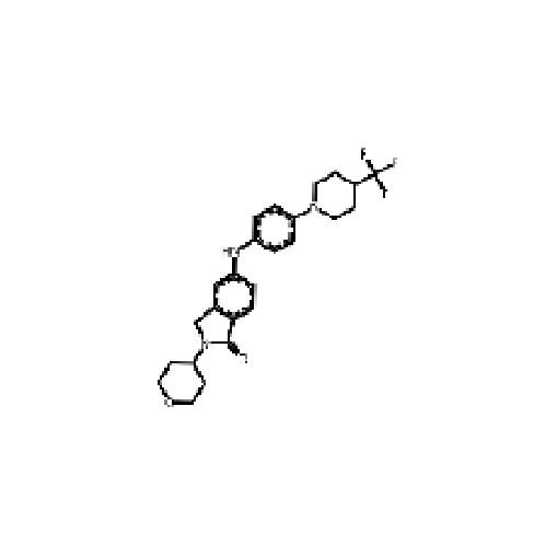 O=C1c2ccc(Nc3ccc(N4CCC(C(F)(F)F)CC4)cc3)cc2CN1C1CCOCC1